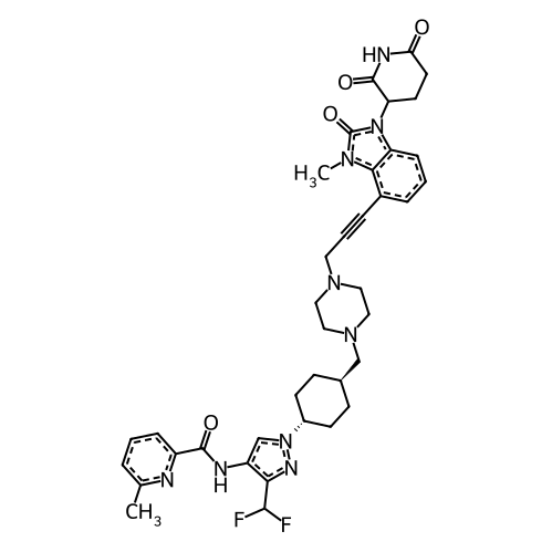 Cc1cccc(C(=O)Nc2cn([C@H]3CC[C@H](CN4CCN(CC#Cc5cccc6c5n(C)c(=O)n6C5CCC(=O)NC5=O)CC4)CC3)nc2C(F)F)n1